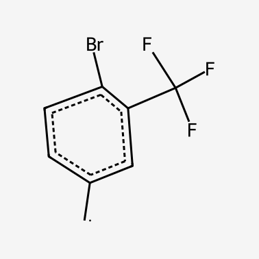 [CH2]c1ccc(Br)c(C(F)(F)F)c1